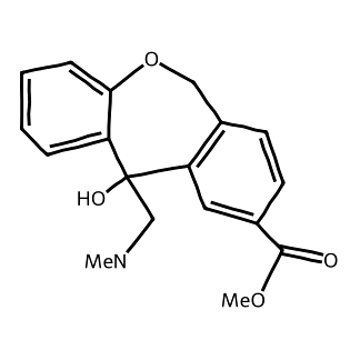 CNCC1(O)c2cc(C(=O)OC)ccc2COc2ccccc21